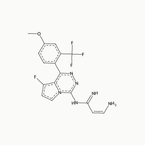 COc1ccc(-c2nnc(NC(=N)/C=C\N)n3ccc(F)c23)c(C(F)(F)F)c1